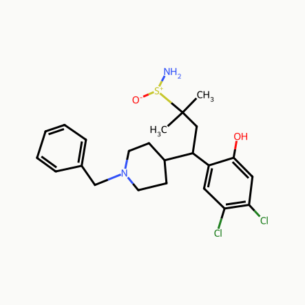 CC(C)(CC(c1cc(Cl)c(Cl)cc1O)C1CCN(Cc2ccccc2)CC1)[S+](N)[O-]